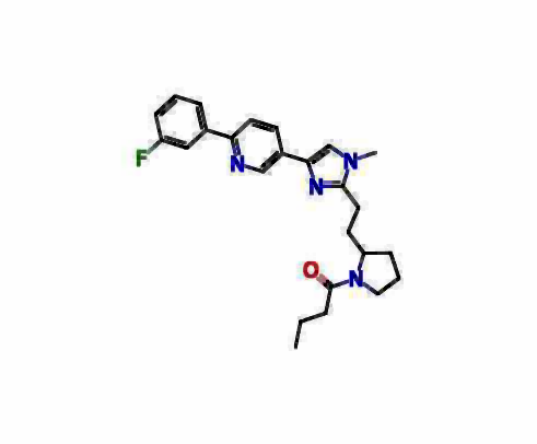 CCCC(=O)N1CCCC1CCc1nc(-c2ccc(-c3cccc(F)c3)nc2)cn1C